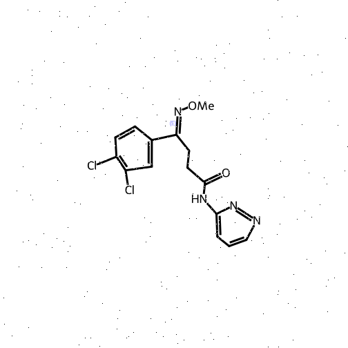 CO/N=C(\CCC(=O)Nc1cccnn1)c1ccc(Cl)c(Cl)c1